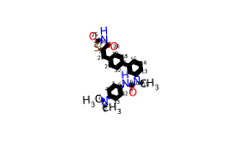 CN(C)c1ccc(NC(=O)N(C)c2cccc(-c3ccc(C=C4SC(=O)NC4=O)cc3)c2)cc1